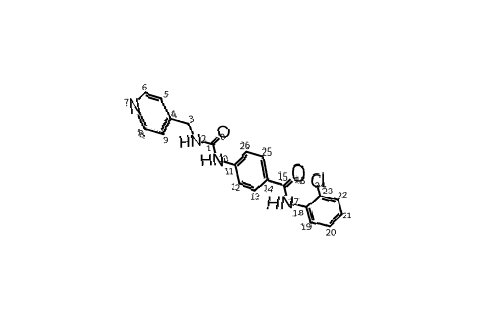 O=C(NCc1ccncc1)Nc1ccc(C(=O)Nc2ccccc2Cl)cc1